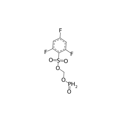 O=[PH2]OCOS(=O)(=O)c1c(F)cc(F)cc1F